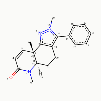 CN1C(=O)C=C[C@]2(C)c3nn(C)c(-c4ccccc4)c3CC[C@@H]12